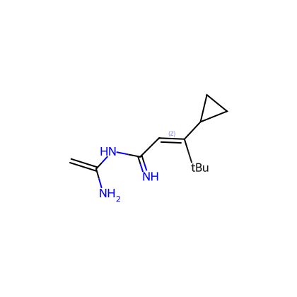 C=C(N)NC(=N)/C=C(/C1CC1)C(C)(C)C